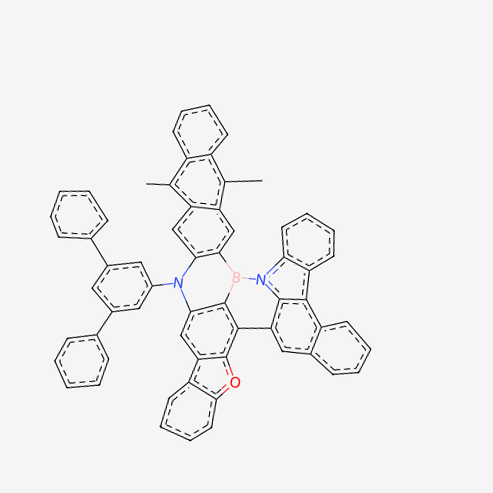 Cc1c2ccccc2c(C)c2cc3c(cc12)B1c2c(cc4c(oc5ccccc54)c2-c2cc4ccccc4c4c5ccccc5n1c24)N3c1cc(-c2ccccc2)cc(-c2ccccc2)c1